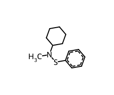 CN(Sc1ccccc1)C1CCCCC1